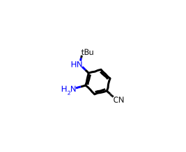 CC(C)(C)Nc1ccc(C#N)cc1N